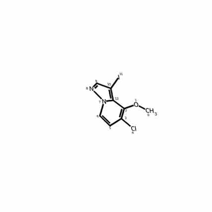 COc1c(Cl)ccn2ncc(I)c12